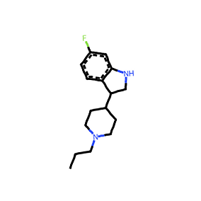 CCCN1CCC(C2CNc3cc(F)ccc32)CC1